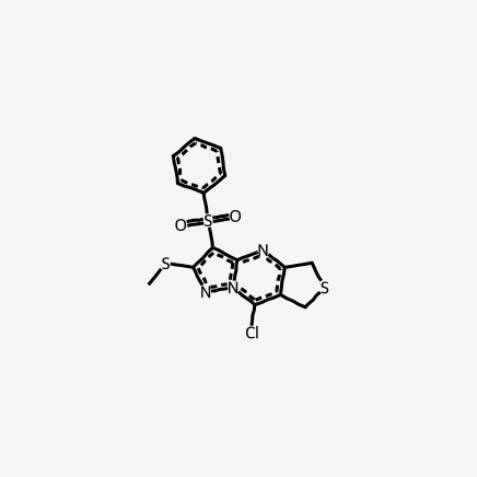 CSc1nn2c(Cl)c3c(nc2c1S(=O)(=O)c1ccccc1)CSC3